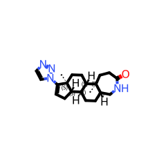 C[C@]12CCC(=O)NC[C@@H]1CC[C@@H]1[C@@H]2CC[C@]2(C)C(n3ccnn3)=CC[C@@H]12